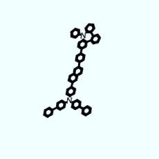 c1ccc(-c2ccc(N(c3ccc(-c4ccccc4)cc3)c3ccc(-c4ccc5cc(-c6ccc(-c7ccc8c(c7)-c7ccccc7-c7ccccc7N8c7ccccc7)cc6)ccc5c4)cc3)cc2)cc1